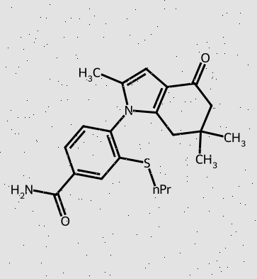 CCCSc1cc(C(N)=O)ccc1-n1c(C)cc2c1CC(C)(C)CC2=O